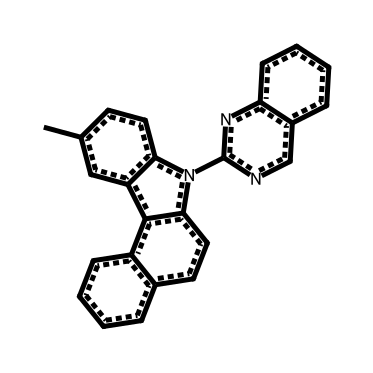 Cc1ccc2c(c1)c1c3ccccc3ccc1n2-c1ncc2ccccc2n1